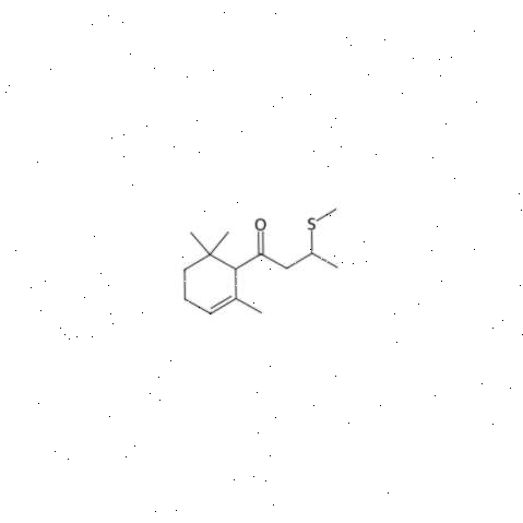 CSC(C)CC(=O)C1C(C)=CCCC1(C)C